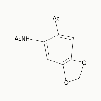 CC(=O)Nc1cc2c(cc1C(C)=O)OCO2